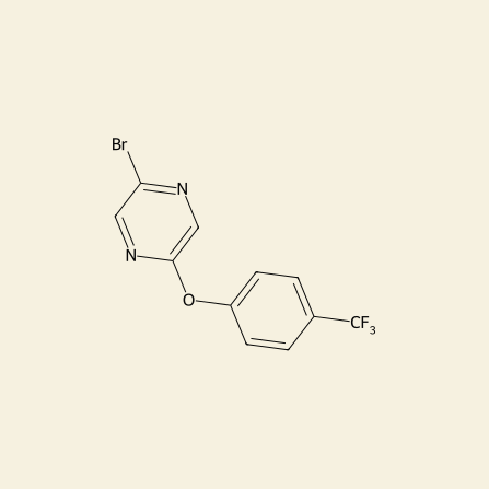 FC(F)(F)c1ccc(Oc2cnc(Br)cn2)cc1